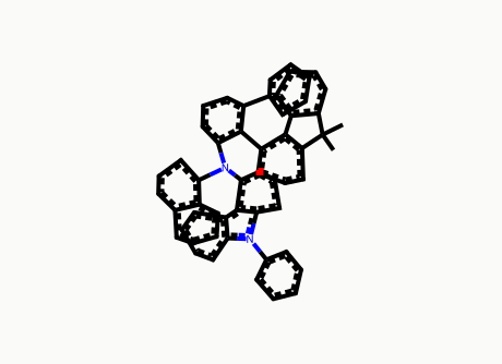 CC1(C)c2ccccc2-c2c(-c3c(-c4ccccc4)cccc3N(c3cccc4ccccc34)c3cccc4c3c3ccccc3n4-c3ccccc3)cccc21